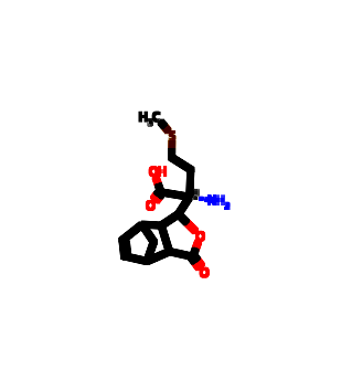 CSCC[C@](N)(C(=O)O)C1OC(=O)C2C3C=CC(C3)C21